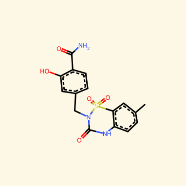 Cc1ccc2c(c1)S(=O)(=O)N(Cc1ccc(C(N)=O)c(O)c1)C(=O)N2